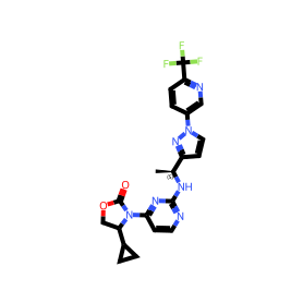 C[C@H](Nc1nccc(N2C(=O)OCC2C2CC2)n1)c1ccn(-c2ccc(C(F)(F)F)nc2)n1